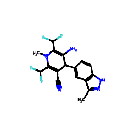 Cc1n[nH]c2ccc(C3C(N)=C(C(F)F)N(C)C(C(F)F)=C3C#N)cc12